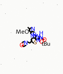 COc1c(C)cnc(Cn2nc3c4c(nc(NC(=O)OC(C)(C)C)nc42)SCC(CCN2CCOCC2)=C3)c1C